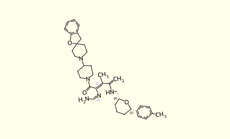 C=C(NC[C@H]1CCC[C@@H](c2ccc(C)cc2)O1)/C(C)=C(\N=C/N)C(=O)N1CCC(N2CCC3(CC2)Cc2ccccc2O3)CC1